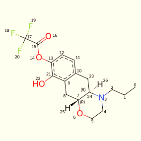 CCCN1CCO[C@@H]2Cc3c(ccc(OC(=O)C(F)(F)F)c3O)C[C@H]21